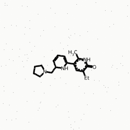 CCc1cc(C2=CC=CC(CN3CCCC3)N2)c(C)[nH]c1=O